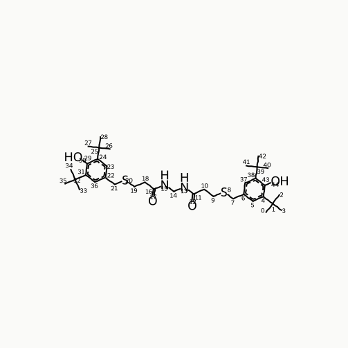 CC(C)(C)c1cc(CSCCC(=O)NCNC(=O)CCSCc2cc(C(C)(C)C)c(O)c(C(C)(C)C)c2)cc(C(C)(C)C)c1O